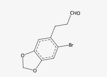 O=CCCc1cc2c(cc1Br)OCO2